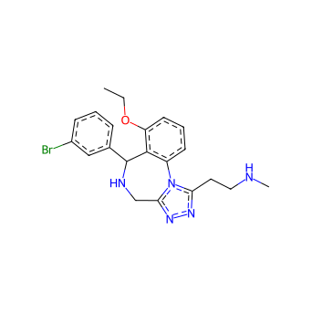 CCOc1cccc2c1C(c1cccc(Br)c1)NCc1nnc(CCNC)n1-2